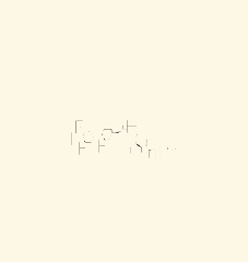 CCCC1COC(C2CCC(O)(c3ccc(-c4cc(F)c(F)c(F)c4)c(F)c3)CC2)OC1